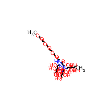 CCOCCOCCOCCOCCOCCOCCNC(=O)C(CN(C[C@H](O)[C@@H](O)[C@H](O)[C@H](O)CC)C[C@H](O)[C@@H](O)[C@H](O)[C@H](O)CO)NC[C@H](O)[C@@H](O)[C@H](O)[C@H](O)CO